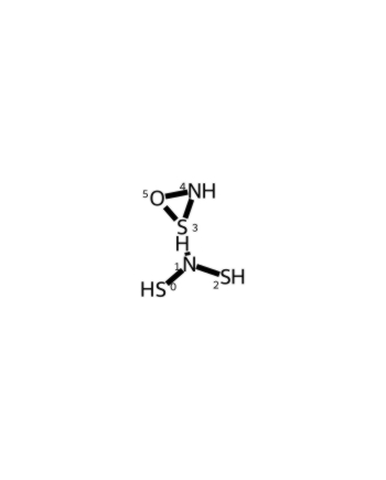 SN(S)[SH]1NO1